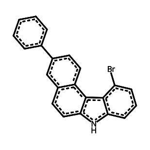 Brc1cccc2[nH]c3ccc4cc(-c5ccccc5)ccc4c3c12